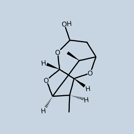 C[C@H]1[C@H]2O[C@@H]3OC(O)CC(O[C@@H]31)[C@@H]2C